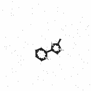 Cc1nc(-c2c[c]ccn2)cs1